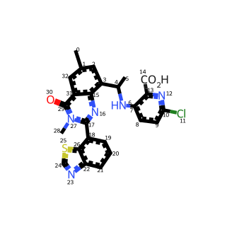 Cc1cc(C(C)Nc2ccc(Cl)nc2C(=O)O)c2nc(-c3cccc4ncsc34)n(C)c(=O)c2c1